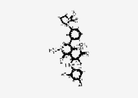 Cn1nc(-c2cccc(N3CCCS3(=O)=O)c2)c2c(c(Nc3ccc(I)cc3F)c(F)c(=O)n2C)c1=O